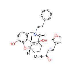 CNC(=O)/C=C/c1ccoc1.Oc1ccc2c3c1O[C@H]1CCC[C@@]4(O)[C@@H](C2)N(C=Cc2ccccc2)CC[C@]314